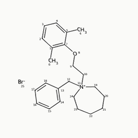 Cc1cccc(C)c1OCC[N+]1(Cc2ccccc2)CCCCCC1.[Br-]